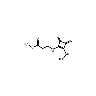 CNc1c(NCCC(=O)OC)c(=O)c1=O